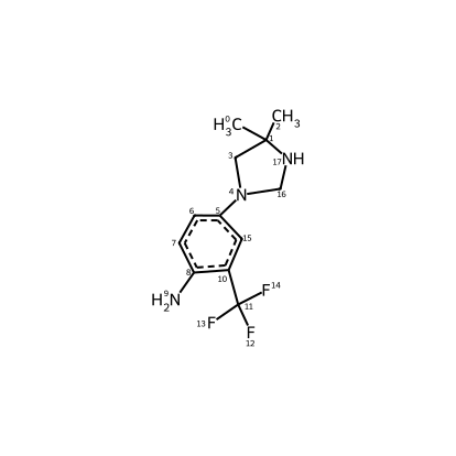 CC1(C)CN(c2ccc(N)c(C(F)(F)F)c2)CN1